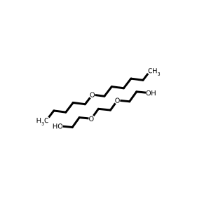 CCCCCCOCCCCC.OCCOCCOCCO